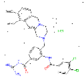 COc1ccc(CN2CCN(Cc3ccc(C(=O)NC(=N)N)cc3NC(=O)c3ccc(Cl)c(Cl)c3)CC2)c(OC)c1OC.Cl